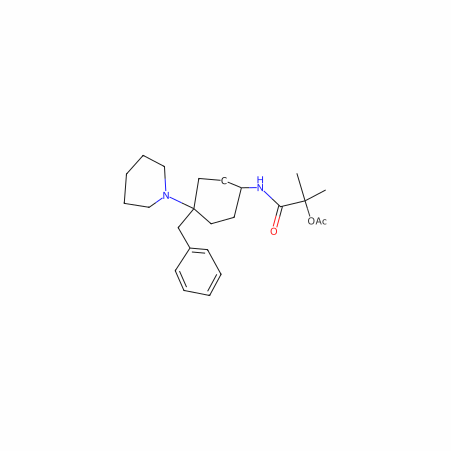 CC(=O)OC(C)(C)C(=O)NC1CCC(Cc2ccccc2)(N2CCCCC2)CC1